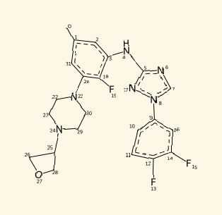 Cc1cc(Nc2ncn(-c3ccc(F)c(F)c3)n2)c(F)c(N2CCN(C3COC3)CC2)c1